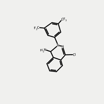 NC1c2ccccc2C(Cl)=NN1c1cc(C(F)(F)F)cc(C(F)(F)F)c1